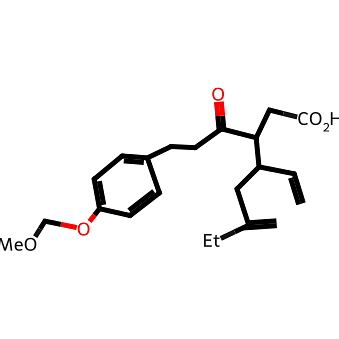 C=CC(CC(=C)CC)C(CC(=O)O)C(=O)CCc1ccc(OCOC)cc1